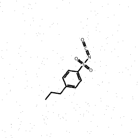 CCCc1ccc(S(=O)(=O)N=C=O)cc1